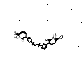 CC(C)(CCC(C)(C)c1ccc(C2CCC(=O)NC2=O)cn1)c1cccc(C2CCC(=O)NC2=O)c1